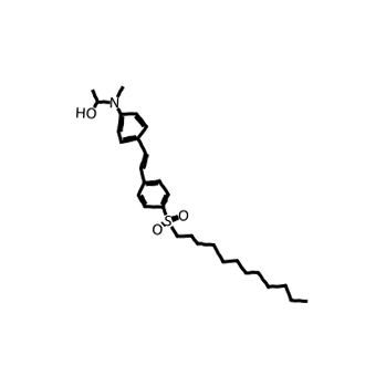 CCCCCCCCCCCCS(=O)(=O)c1ccc(C=Cc2ccc(N(C)C(C)O)cc2)cc1